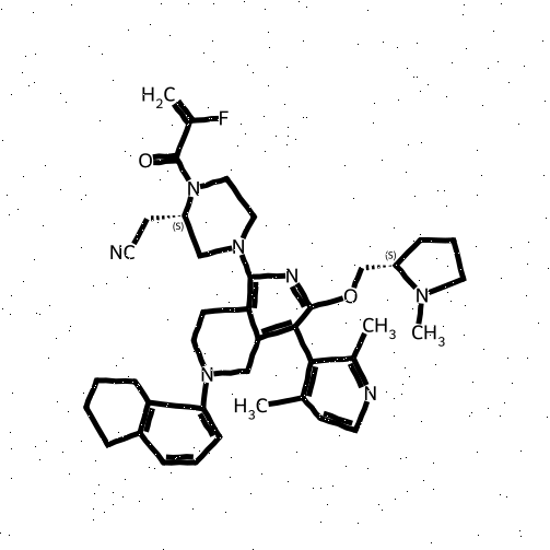 C=C(F)C(=O)N1CCN(c2nc(OC[C@@H]3CCCN3C)c(-c3c(C)ccnc3C)c3c2CCN(c2cccc4c2CCCC4)C3)C[C@@H]1CC#N